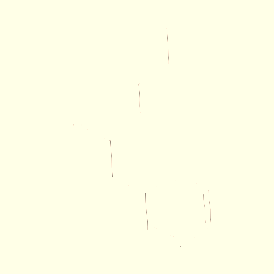 [CH2]CCOC(O)Cc1ccccc1